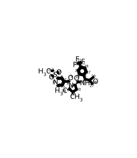 CCS(=O)(=O)c1cc(C(=O)N2[C@@H](C(=O)N[C@@H](c3ccc(C(F)(F)F)cc3)C3COC3)C[C@@H](C)[C@H]2C)ccn1